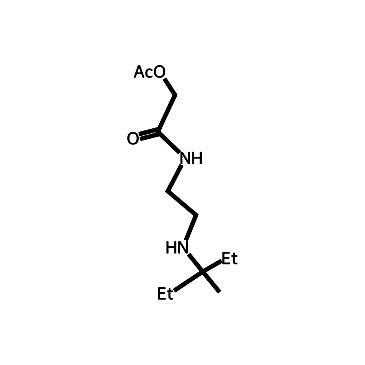 CCC(C)(CC)NCCNC(=O)COC(C)=O